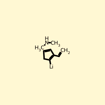 CNC.[Li][C]1=C(C=C)C=CC1